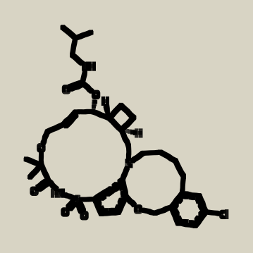 CC(C)CNC(=O)O[C@H]1/C=C/COC(C)(C)C(=O)NS(=O)(=O)c2ccc3c(c2)N(CCCCc2cc(Cl)ccc2CO3)C[C@@H]2CC[C@H]21